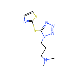 CN(C)CCCn1nnnc1Sc1nccs1